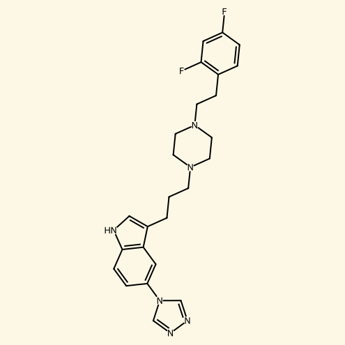 Fc1ccc(CCN2CCN(CCCc3c[nH]c4ccc(-n5cnnc5)cc34)CC2)c(F)c1